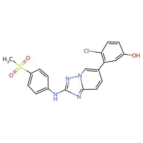 CS(=O)(=O)c1ccc(Nc2nc3ccc(-c4cc(O)ccc4Cl)cn3n2)cc1